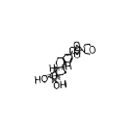 C[C@]12CC[C@@H]3c4ccc(OS(=O)(=O)N5CCOCC5)cc4CC[C@H]3[C@@H]1C[C@@H](O)[C@@H]2O